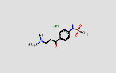 CCCCCCCN(CC)CCC(=O)c1ccc(NS(C)(=O)=O)cc1.Cl